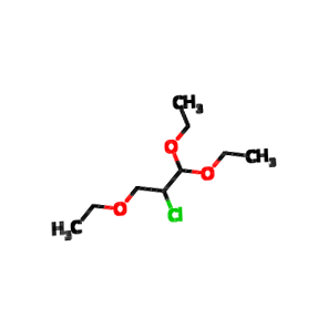 CCOCC(Cl)C(OCC)OCC